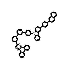 c1cc(-c2ccc(-n3c4ccccc4c4cc(-c5ccc(-c6ccc7ccccc7c6)cc5)ccc43)cc2)cc(-c2cccc(-c3cnc4c5ccccc5c5ccccc5c4n3)c2)c1